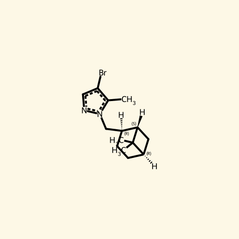 Cc1c(Br)cnn1C[C@@H]1CC[C@@H]2C[C@@H]1C2(C)C